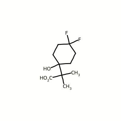 CC(C)(C(=O)O)C1(O)CCC(F)(F)CC1